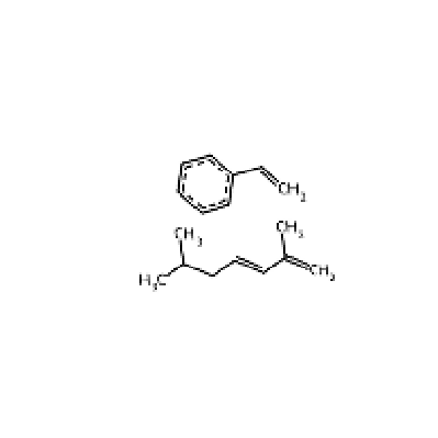 C=C(C)C=CCC(C)C.C=Cc1ccccc1